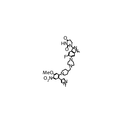 COc1cc(N2CCC(CN3CCN(c4cc5c(cc4F)c(N4CCC(=O)NC4=O)nn5C)CC3)CC2)c(-c2cnn(C)c2)cc1[N+](=O)[O-]